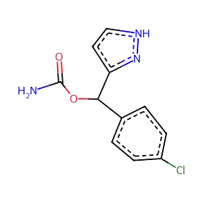 NC(=O)OC(c1ccc(Cl)cc1)c1cc[nH]n1